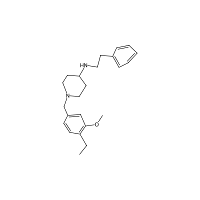 CCc1ccc(CN2CCC(NCCc3ccccc3)CC2)cc1OC